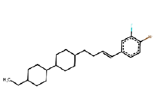 CCC1CCC(C2CCC(CCC=Cc3ccc(Br)c(F)c3)CC2)CC1